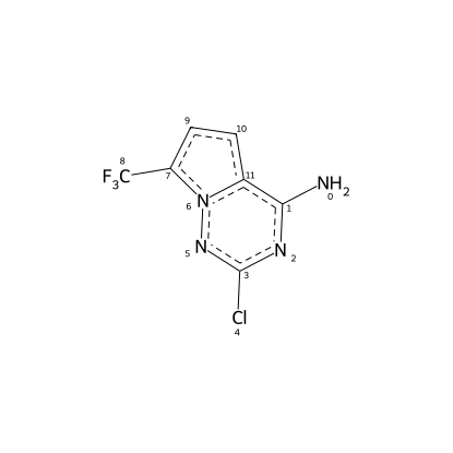 Nc1nc(Cl)nn2c(C(F)(F)F)ccc12